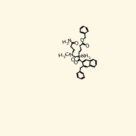 CN(CCC(N)=O)C(=O)[C@](N)(CCCC(=O)OCc1ccccc1)C(=O)c1cc2ccccc2cc1Cc1ccccc1